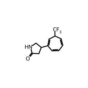 O=C1CC(C2=CC(C(F)(F)F)C=CC=C2)CN1